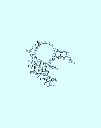 CC[C@]12C[C@@H]1CCCCCc1nc3ccc(OC)cc3nc1OC1CN(C(=O)[C@H](C(C)(C)C)NC(=O)O2)[C@H](C(=O)N[C@]2(C(=O)NS(=O)(=O)C3(C)CC3)C[C@H]2C(F)F)[C@@H]1C